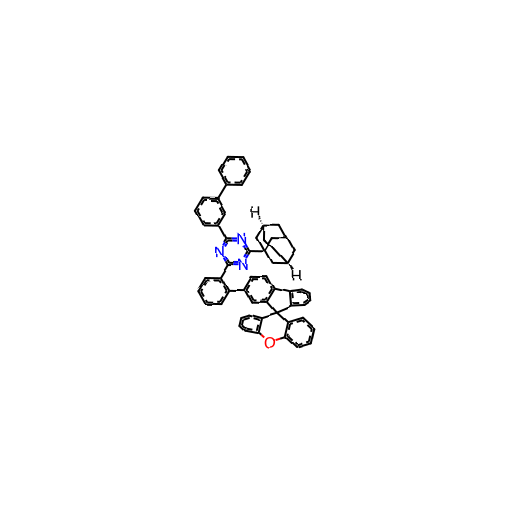 c1ccc(-c2cccc(-c3nc(-c4ccccc4-c4ccc5c(c4)C4(c6ccccc6Oc6ccccc64)c4ccccc4-5)nc(C45CC6C[C@H](C4)C[C@H](C6)C5)n3)c2)cc1